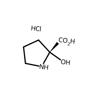 Cl.O=C(O)[C@]1(O)CCCN1